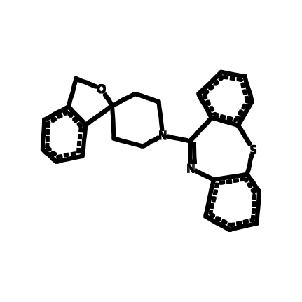 c1ccc2c(c1)COC21CCN(C2=Nc3ccccc3Sc3ccccc32)CC1